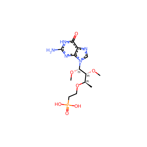 CO[C@H]([C@@H](C)OCCP(=O)(O)O)[C@H](OC)n1cnc2c(=O)[nH]c(N)nc21